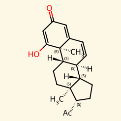 CC(=O)[C@H]1CC[C@H]2[C@@H]3C=CC4=CC(=O)C=C(O)[C@]4(C)[C@H]3CC[C@]12C